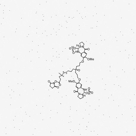 COc1cc2c(cc1OCCCP(=O)(CCCOc1cc3c(cc1OC)C(=O)N1CCC[C@H]1C(O[SH](=O)=O)N3)CCCSSC(C)(C)CCC(=O)ON1C(=O)CCC1=O)NC(O[SH](=O)=O)[C@@H]1CCCN1C2=O